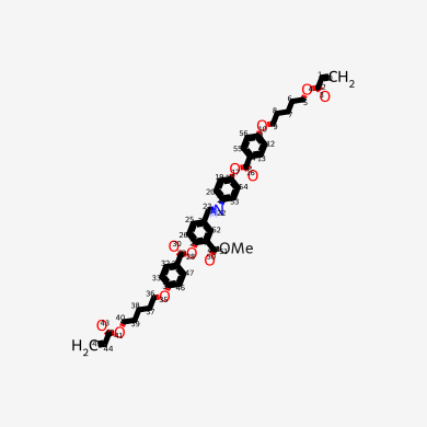 C=CC(=O)OCCCCCOc1ccc(C(=O)Oc2ccc(/N=C/c3ccc(OC(=O)c4ccc(OCCCCCOC(=O)C=C)cc4)c(C(=O)OC)c3)cc2)cc1